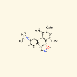 COc1cc(OC)c(-c2oncc2-c2ccc(N(C)C)cc2)cc1OC